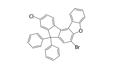 Clc1ccc2c(c1)C(c1ccccc1)(c1ccccc1)c1cc(Br)c3oc4ccccc4c3c1-2